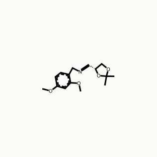 COc1ccc(CN=C[C@@H]2COC(C)(C)O2)c(OC)c1